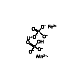 O=P([O-])([O-])O.O=P([O-])([O-])[O-].[Fe+2].[Li+].[Mn+2]